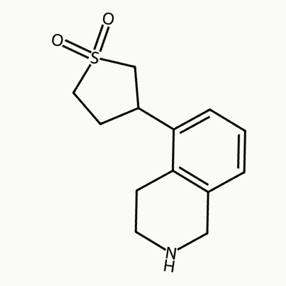 O=S1(=O)CCC(c2cccc3c2CCNC3)C1